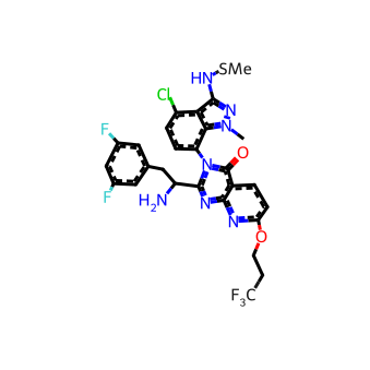 CSNc1nn(C)c2c(-n3c(C(N)Cc4cc(F)cc(F)c4)nc4nc(OCCC(F)(F)F)ccc4c3=O)ccc(Cl)c12